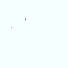 Cc1c(C(=O)O)ccc([C@H](C)O)c1Cl